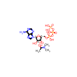 CC(O)N(C)C.Nc1ncnc2c1ncn2[C@@H]1O[C@H](COP(=O)(O)OP(=O)(O)OP(=O)(O)O)[C@@H](O)[C@H]1O